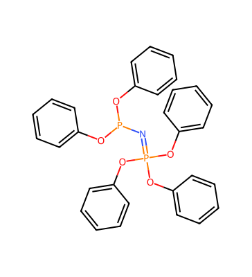 c1ccc(OP(N=P(Oc2ccccc2)(Oc2ccccc2)Oc2ccccc2)Oc2ccccc2)cc1